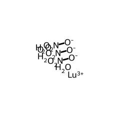 O.O.O.O=[N+]([O-])[O-].O=[N+]([O-])[O-].O=[N+]([O-])[O-].[Lu+3]